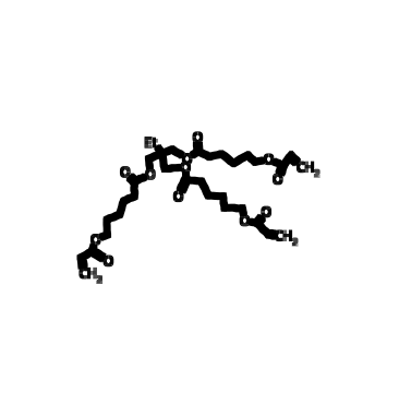 C=CC(=O)OCCCCCC(=O)OCC(CC)(COC(=O)CCCCCOC(=O)C=C)COC(=O)CCCCCOC(=O)C=C